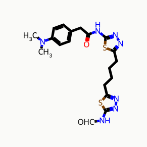 CN(C)c1ccc(CC(=O)Nc2nnc(CCCCc3nnc(NC=O)s3)s2)cc1